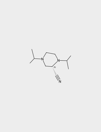 CC(C)N1CCN(C(C)C)[C@H](C#N)C1